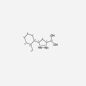 OC(O)C1CC(C2CCCCC2I)NN1